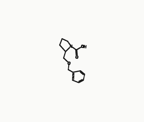 O=C(O)N1CCCC1COCc1ccccc1